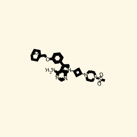 CS(=O)(=O)N1CCN([C@H]2C[C@@H](n3cc(-c4cccc(OCC56CCC(CC5)O6)c4)c4c(N)ncnc43)C2)CC1